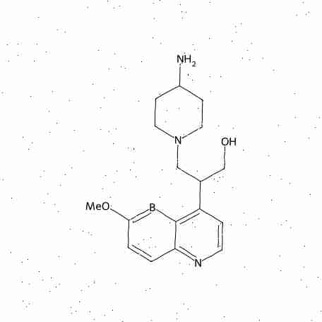 COc1bc2c(C(CO)CN3CCC(N)CC3)ccnc2cc1